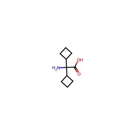 NC(C(=O)O)(C1CCC1)C1CCC1